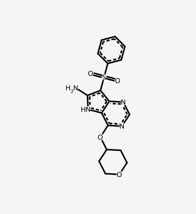 Nc1[nH]c2c(OC3CCOCC3)ncnc2c1S(=O)(=O)c1ccccc1